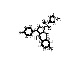 Cn1cnc(S(=O)(=O)N2CC(Nc3ccc(F)cc3F)C(c3ccc(F)cc3)C2)c1